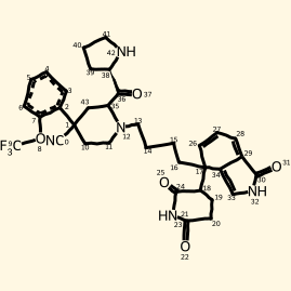 N#CC1(c2ccccc2OC(F)(F)F)CCN(CCCCC2(C3CCC(=O)NC3=O)C=CC=C3C(=O)NC=C32)C(C(=O)[C@H]2CCCN2)C1